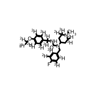 [2H]c1c([2H])c(CN(C(=O)NC([2H])([2H])c2c([2H])c([2H])c(OC([2H])([2H])C(C)C)c([2H])c2[2H])C2CC([2H])([2H])N(C)C([2H])([2H])C2)c([2H])c([2H])c1F